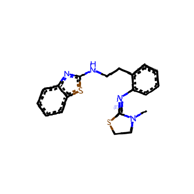 CN1CCS/C1=N/c1ccccc1CCNc1nc2ccccc2s1